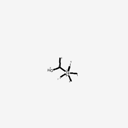 CC(O)[TeH](C)(C)(I)I